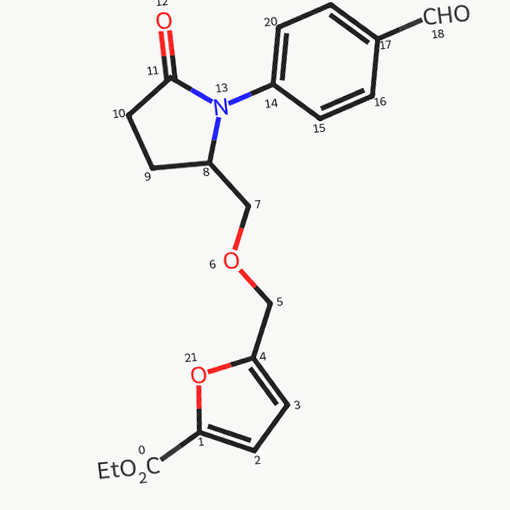 CCOC(=O)c1ccc(COCC2CCC(=O)N2c2ccc(C=O)cc2)o1